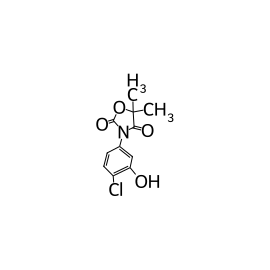 CC1(C)OC(=O)N(c2ccc(Cl)c(O)c2)C1=O